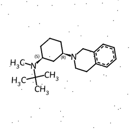 CN([C@H]1CCC[C@@H](N2CCc3ccccc3C2)C1)C(C)(C)C